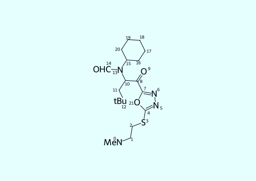 CNCCSc1nnc(C(=O)C(CC(C)(C)C)N(C=O)C2CCCCC2)o1